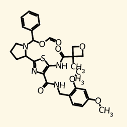 COc1ccc(CNC(=O)c2nc(C3CCCN3C(OC=O)c3ccccc3)sc2NC(=O)C2(C)COC2)c(OC)c1